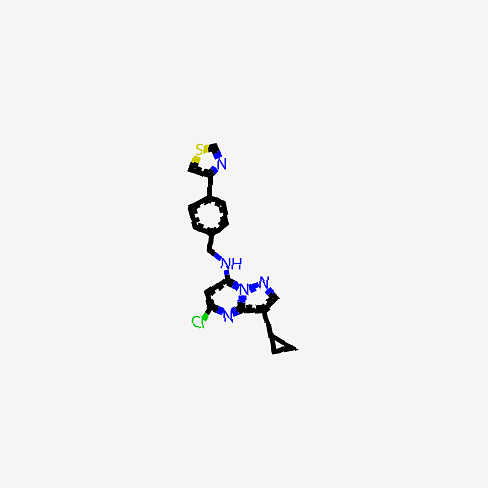 Clc1cc(NCc2ccc(-c3cscn3)cc2)n2ncc(C3CC3)c2n1